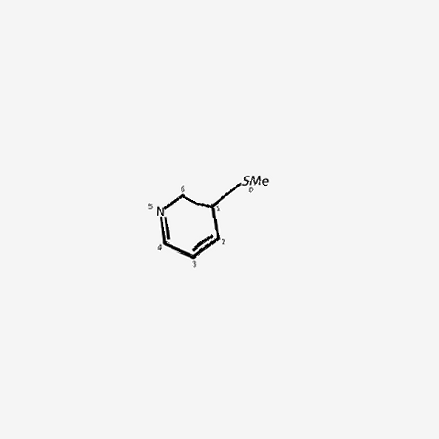 CS[C]1C=CC=NC1